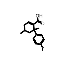 CC1CC=C(C(=O)O)C(C)(c2ccc(F)cc2)C1